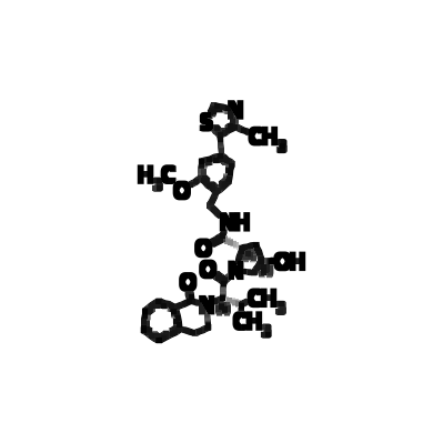 COc1cc(-c2scnc2C)ccc1CNC(=O)[C@@H]1C[C@@H](O)CN1C(=O)[C@H](C(C)C)N1CCc2ccccc2C1=O